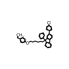 C=Cc1ccc(OCCCCCCC2(c3ccccc3)c3ccccc3-c3ccc(-c4ccc(Cl)cc4)cc32)cc1